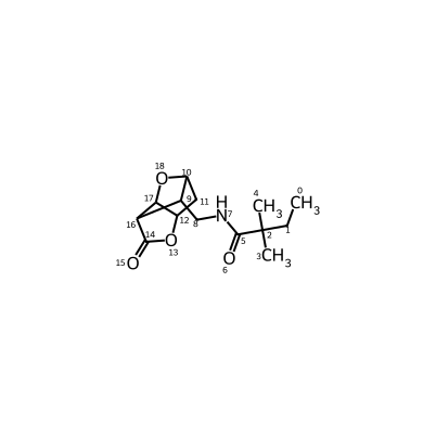 CCC(C)(C)C(=O)NCC1C2CC3OC(=O)C1C3O2